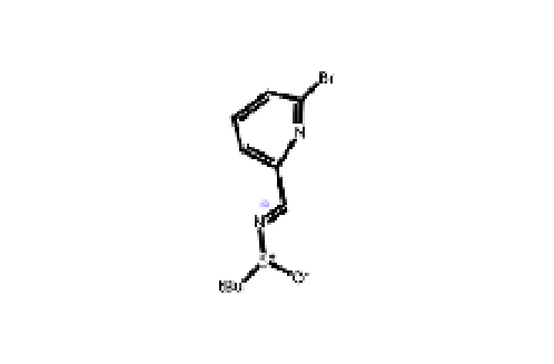 CC(C)(C)[S+]([O-])/N=C/c1cccc(Br)n1